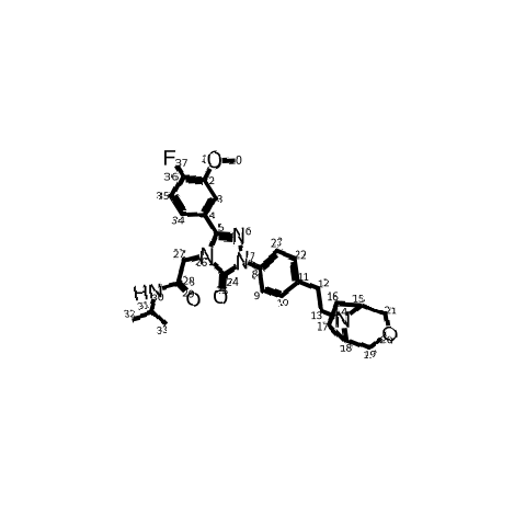 COc1cc(-c2nn(-c3ccc(CCN4C5CCC4COC5)cc3)c(=O)n2CC(=O)NC(C)C)ccc1F